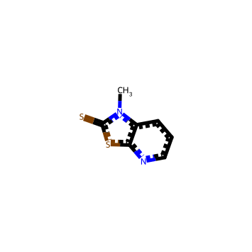 Cn1c(=S)sc2ncccc21